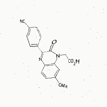 COc1ccc2nc(-c3ccc(C#N)cc3)c(=O)n(CC(=O)O)c2c1